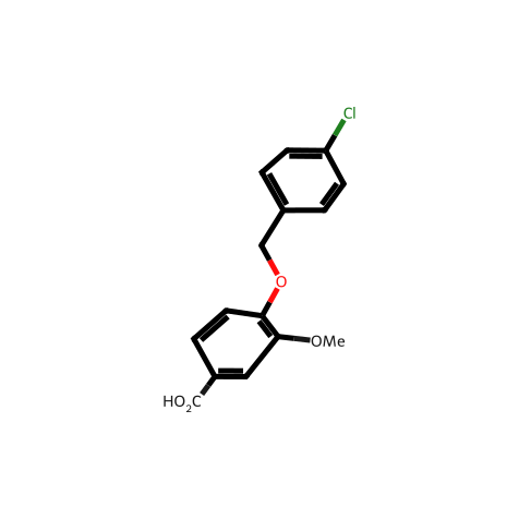 COc1cc(C(=O)O)ccc1OCc1ccc(Cl)cc1